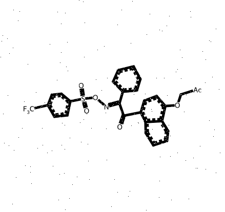 CC(=O)COc1ccc(C(=O)/C(=N/OS(=O)(=O)c2ccc(C(F)(F)F)cc2)c2ccccc2)c2ccccc12